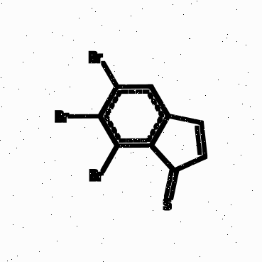 S=C1C=Cc2cc(Br)c(Br)c(Br)c21